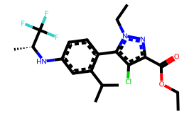 CCOC(=O)c1nn(CC)c(-c2ccc(N[C@H](C)C(F)(F)F)cc2C(C)C)c1Cl